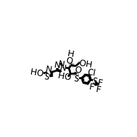 OCC1O[C@H](Sc2ccc(SC(F)(F)F)c(Cl)c2)C(O)C(n2cc(-c3csc(O)n3)nn2)[C@H]1O